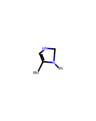 CC(C)N1CNC=C1C(C)(C)C